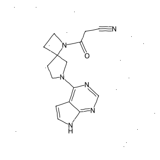 N#CCC(=O)N1CCC12CCN(c1ncnc3[nH]ccc13)C2